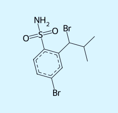 CC(C)C(Br)c1cc(Br)ccc1S(N)(=O)=O